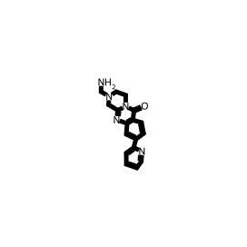 NCN1CCn2c(nc3cc(-c4ccccn4)ccc3c2=O)C1